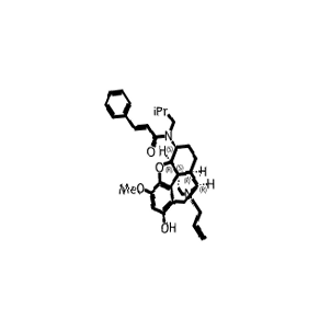 C=CCN1CC[C@]23c4c5c(O)cc(OC)c4O[C@H]2[C@@H](N(CC(C)C)C(=O)C=Cc2ccccc2)CC[C@H]3[C@H]1C5